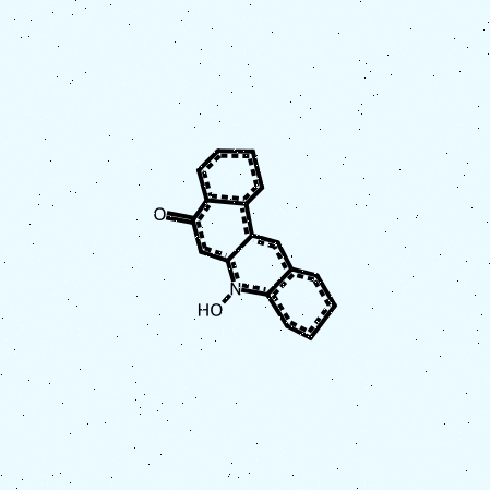 O=c1cc2n(O)c3ccccc3cc-2c2ccccc12